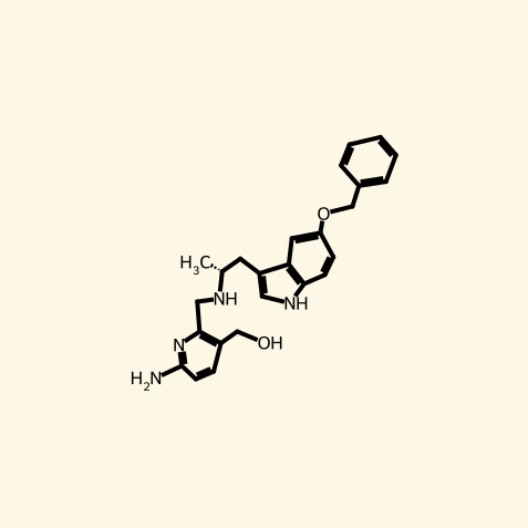 C[C@H](Cc1c[nH]c2ccc(OCc3ccccc3)cc12)NCc1nc(N)ccc1CO